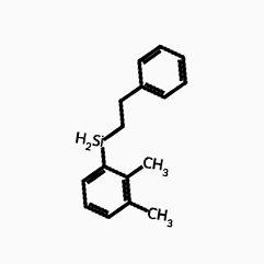 Cc1cccc([SiH2]CCc2ccccc2)c1C